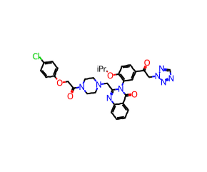 CC(C)Oc1ccc(C(=O)Cn2ncnn2)cc1-n1c(CN2CCN(C(=O)COc3ccc(Cl)cc3)CC2)nc2ccccc2c1=O